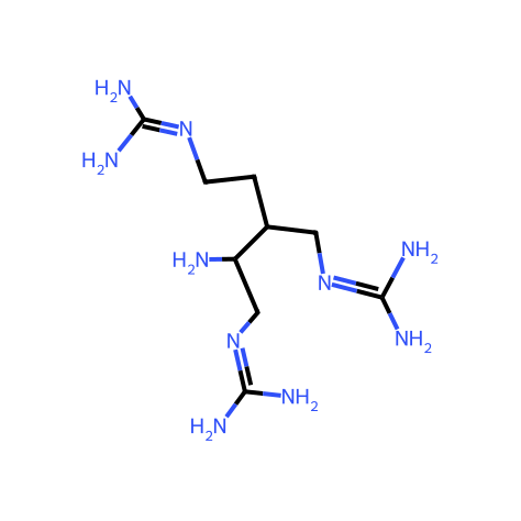 NC(N)=NCCC(CN=C(N)N)C(N)CN=C(N)N